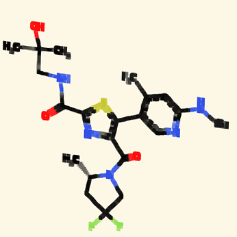 C[C@H]1CC(F)(F)CN1C(=O)c1nc(C(=O)NCC(C)(C)O)sc1-c1cnc(NC(C)(C)C)cc1C(F)(F)F